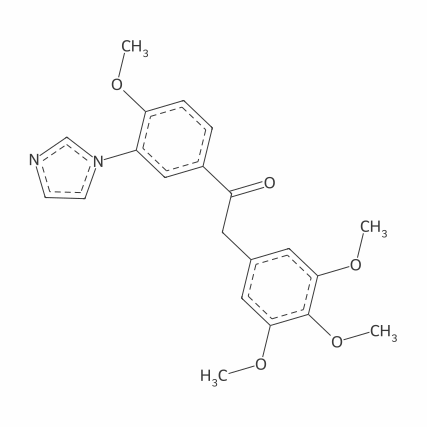 COc1ccc(C(=O)Cc2cc(OC)c(OC)c(OC)c2)cc1-n1ccnc1